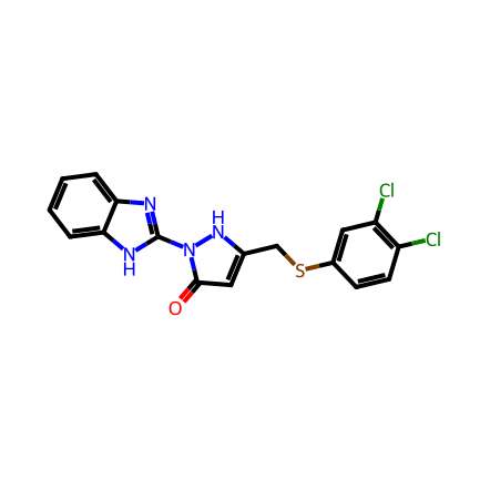 O=c1cc(CSc2ccc(Cl)c(Cl)c2)[nH]n1-c1nc2ccccc2[nH]1